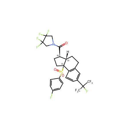 O=C([C@@H]1CC[C@@]2(S(=O)(=O)c3ccc(F)cc3)c3ccc(C(F)(C(F)(F)F)C(F)(F)F)cc3CC[C@@H]12)N1CC(F)(F)C(F)(F)C1